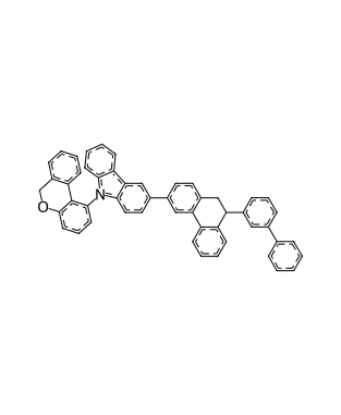 c1ccc(-c2cccc(C3Cc4ccc(-c5ccc6c(c5)c5ccccc5n6-c5cccc6c5-c5ccccc5CO6)cc4-c4ccccc43)c2)cc1